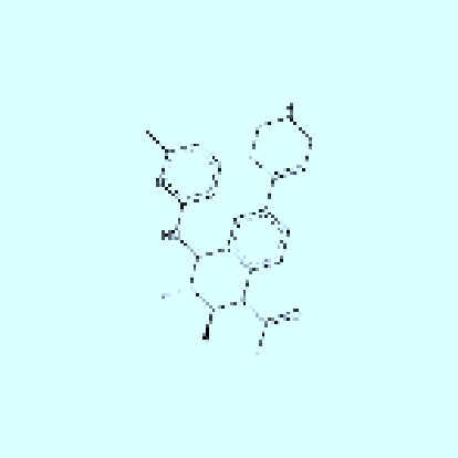 CC(=O)N1c2ccc(C3=CCNCC3)cc2C(Nc2cccc(C)n2)[C@@H](C)[C@@H]1C